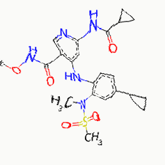 CCONC(=O)c1cnc(NC(=O)C2CC2)cc1Nc1ccc(C2CC2)cc1N(C)S(C)(=O)=O